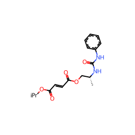 CC(C)OC(=O)/C=C/C(=O)OC[C@@H](C)NC(=O)Nc1ccccc1